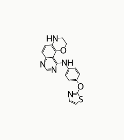 c1csc(Oc2ccc(Nc3ncnc4ccc5c(c34)OCCN5)cc2)n1